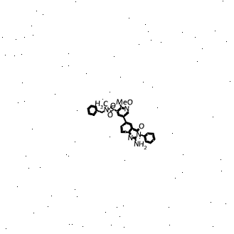 COc1ncc(-c2ccc3nc(N)n(-c4ccccc4)c(=O)c3c2)cc1S(=O)(=O)N(C)Cc1ccccc1